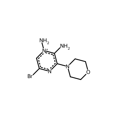 Nc1c(N2CCOCC2)nc(Br)c[n+]1N